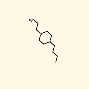 CCCCN1CCN(CCN)CC1